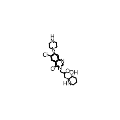 O=C(C[C@@H]1NCCC[C@H]1O)Cn1cnc2cc(N3CCNCC3)c(Cl)cc2c1=O